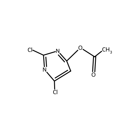 CC(=O)Oc1cc(Cl)nc(Cl)n1